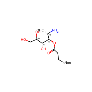 CCCCCCCCCCCC(=O)O[C@@H]([C@H](O)[C@H](O)CO)[C@@H](N)C=O